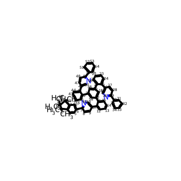 CC1(C)c2ccc(-c3ccc(-c4ccccc4-c4cc(-c5ccccc5-c5ccc(-c6ccccc6)nc5)cc(-c5ccccc5-c5ccc(-c6ccccc6)nc5)c4)cn3)cc2C(C)(C)C1(C)C